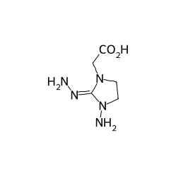 NN=C1N(N)CCN1CC(=O)O